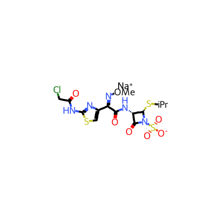 CON=C(C(=O)N[C@H]1C(=O)N(S(=O)(=O)[O-])[C@@H]1SC(C)C)c1csc(NC(=O)CCl)n1.[Na+]